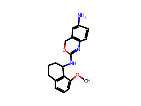 COc1cccc2c1C(NC1=Nc3ccc(N)cc3CO1)CCC2